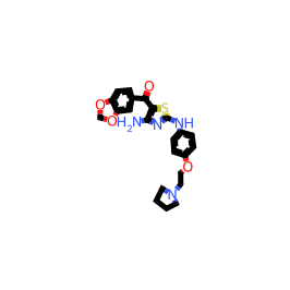 Nc1nc(Nc2ccc(OCCN3CCCC3)cc2)sc1C(=O)c1ccc2c(c1)OCO2